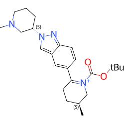 C[C@H]1CCC(c2ccc3nn([C@H]4CCCN(C)C4)cc3c2)=[N+](C(=O)OC(C)(C)C)C1